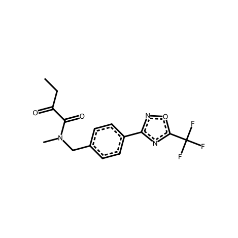 CCC(=O)C(=O)N(C)Cc1ccc(-c2noc(C(F)(F)F)n2)cc1